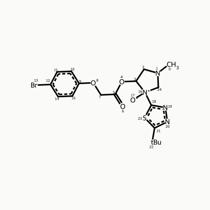 CN1CC(OC(=O)COc2ccc(Br)cc2)[N+]([O-])(c2nnc(C(C)(C)C)s2)C1